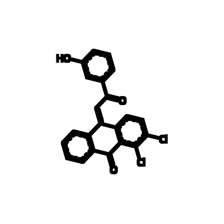 O=C(C=C1c2ccccc2C(=O)c2c1ccc(Cl)c2Cl)c1cccc(O)c1